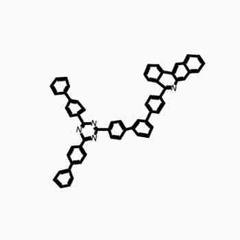 c1ccc(-c2ccc(-c3nc(-c4ccc(-c5ccccc5)cc4)nc(-c4ccc(-c5cccc(-c6ccc(-c7nc8cc9ccccc9cc8c8ccccc78)cc6)c5)cc4)n3)cc2)cc1